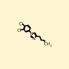 C[CH]CCc1cn(-c2ccc(Cl)c(Cl)c2)cn1